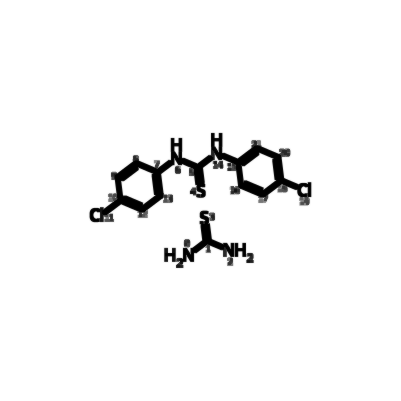 NC(N)=S.S=C(Nc1ccc(Cl)cc1)Nc1ccc(Cl)cc1